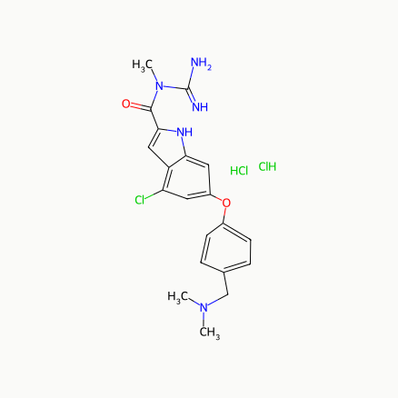 CN(C)Cc1ccc(Oc2cc(Cl)c3cc(C(=O)N(C)C(=N)N)[nH]c3c2)cc1.Cl.Cl